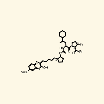 CC[C@@H]1CCN(C(=O)C(CC(C)C2CCCCC2)NC(=O)OC2CCC[C@H]2CCCCCc2nc3ccc(OC)cc3nc2O)[C@@H]1C(=O)C(C)C